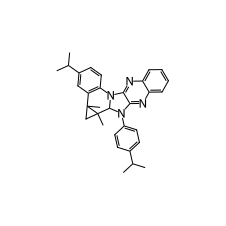 CC(C)c1ccc(N2c3nc4ccccc4nc3N3c4ccc(C(C)C)cc4C4(C)CC4(C)C23)cc1